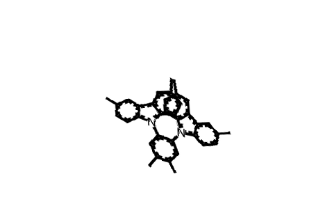 Cc1ccc2c(c1)c1cc(C)ccc1n2-c1cc(C)c(C)cc1-n1c2ccc(C)cc2c2cc(C)ccc21